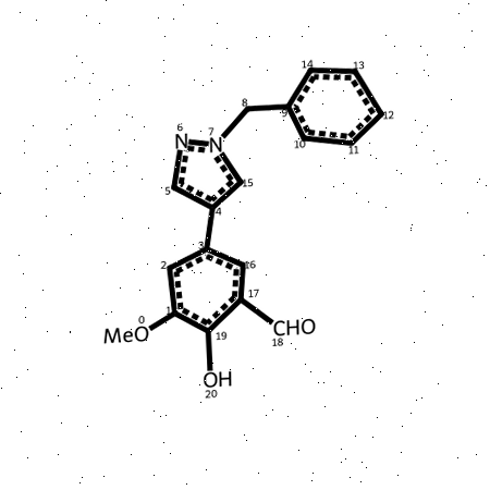 COc1cc(-c2cnn(Cc3ccccc3)c2)cc(C=O)c1O